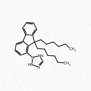 CCCCCCC1(CCCCCC)c2ccccc2-c2cccc(N3NC=NN3)c21